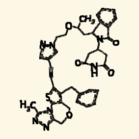 Cc1nnc2n1-c1sc(C#Cc3cnn(CCOC(C)CC4c5ccccc5C(=O)N4C4CC(=O)NC(=O)C4)c3)c(Cc3ccccc3)c1COC2